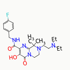 CCN(CC)CCN1CCn2c(nc(C(=O)NCc3ccc(F)cc3)c(O)c2=O)C1(C)C